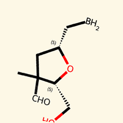 BC[C@H]1CC(C)(C=O)[C@@H](CO)O1